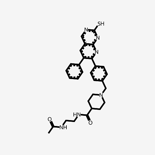 CC(=O)NCCNC(=O)C1CCN(Cc2ccc(-c3nc4nc(S)ncc4cc3-c3ccccc3)cc2)CC1